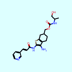 CC(CO)NC(=O)OCC1CCc2c(sc(NC(=O)/C=C/c3cccnc3)c2N)C1